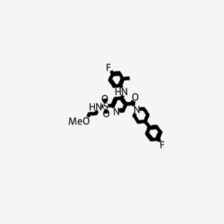 COCCNS(=O)(=O)c1cc(Nc2ccc(F)cc2C)c(C(=O)N2CCC(c3ccc(F)cc3)CC2)cn1